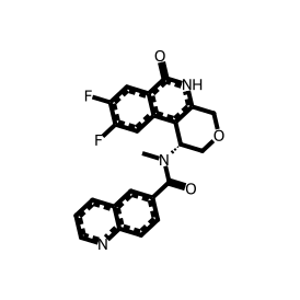 CN(C(=O)c1ccc2ncccc2c1)[C@H]1COCc2[nH]c(=O)c3cc(F)c(F)cc3c21